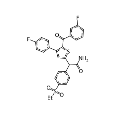 CCS(=O)(=O)c1ccc(C(C(N)=O)c2cc(-c3ccc(F)cc3)c(C(=O)c3cccc(F)c3)s2)cc1